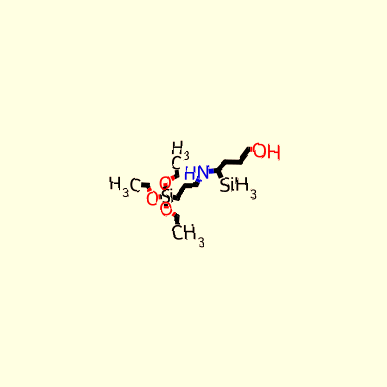 CCO[Si](CCCNC([SiH3])CCCO)(OCC)OCC